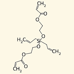 C=CC[Si](CC=C)(OCCOC(=O)C=C)OCCOC(=O)C=C